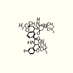 CC(C)C1CC(=O)N([C@@H]2CC(C)(C)Oc3ccc(C(=O)N[C@@H]4c5cc(F)ccc5OC(C)(C)[C@H]4O)cc32)C(=N)N1